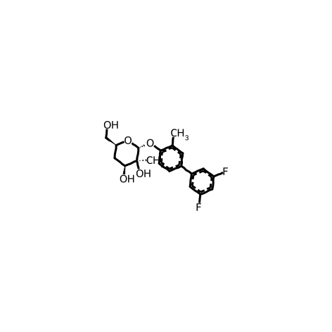 Cc1cc(-c2cc(F)cc(F)c2)ccc1O[C@H]1O[C@H](CO)C[C@H](O)[C@]1(C)O